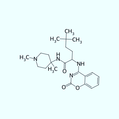 CN1CCC(C)(NC(=O)C(CCC(C)(C)C)Nc2nc(=O)oc3ccccc23)CC1